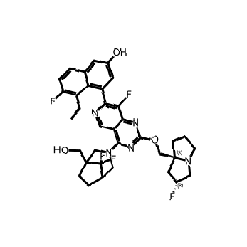 CCc1c(F)ccc2cc(O)cc(-c3ncc4c(N5CC6CCC(CO)(C5)C6(F)F)nc(OC[C@@]56CCCN5C[C@H](F)C6)nc4c3F)c12